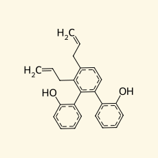 C=CCc1ccc(-c2ccccc2O)c(-c2ccccc2O)c1CC=C